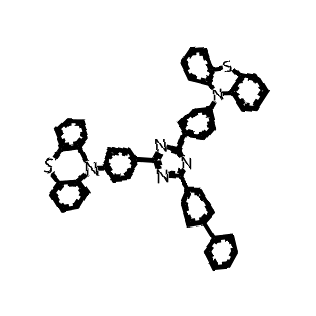 c1ccc(-c2ccc(-c3nc(-c4ccc(N5c6ccccc6Sc6ccccc65)cc4)nc(-c4ccc(N5c6ccccc6Sc6ccccc65)cc4)n3)cc2)cc1